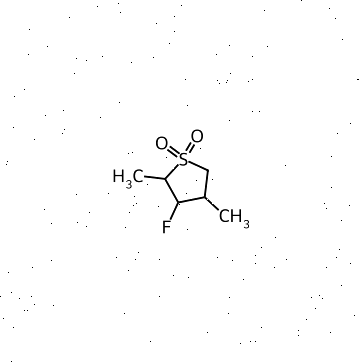 CC1CS(=O)(=O)C(C)C1F